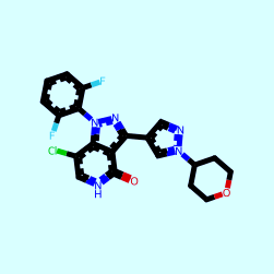 O=c1[nH]cc(Cl)c2c1c(-c1cnn(C3CCOCC3)c1)nn2-c1c(F)cccc1F